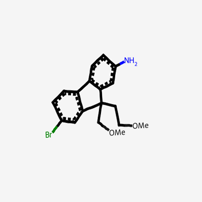 COCCC1(COC)c2cc(N)ccc2-c2ccc(Br)cc21